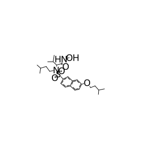 CC(C)CCOc1ccc2ccc(S(=O)(=O)N(CCC(C)C)C(C(=O)NO)C(C)C)cc2c1